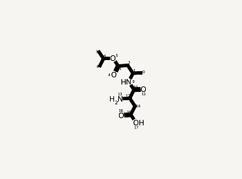 CC(CC(=O)OC(C)C)NC(=O)C(N)CC(=O)O